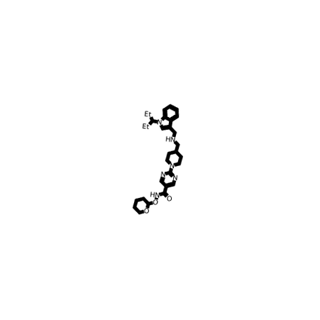 CCC(CC)n1cc(CNCC2CCN(c3ncc(C(=O)NOC4CCCCO4)cn3)CC2)c2ccccc21